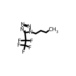 CCCCn1nnnc1C(F)(F)C(F)(F)F